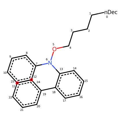 CCCCCCCCCCCCCCON(c1ccccc1)c1ccccc1-c1ccccc1